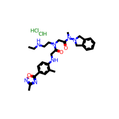 CCNCCN(CC(=O)N(C)N1Cc2ccccc2C1)C(=O)CNc1ccc(-c2nc(C)no2)cc1C.Cl.Cl